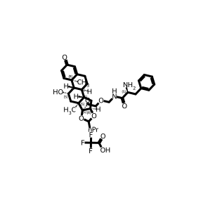 CCCC1O[C@@H]2C[C@H]3[C@@H]4CCC5=CC(=O)C=C[C@]5(C)[C@H]4[C@@H](O)C[C@]3(C)[C@]2(C(=O)COCNC(=O)[C@@H](N)Cc2ccccc2)O1.O=C(O)C(F)(F)F